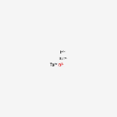 [Ir+3].[O-2].[Ru+3].[Ta+5]